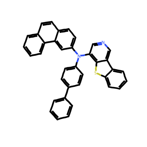 c1ccc(-c2ccc(N(c3ccc4ccc5ccccc5c4c3)c3cncc4c3sc3ccccc34)cc2)cc1